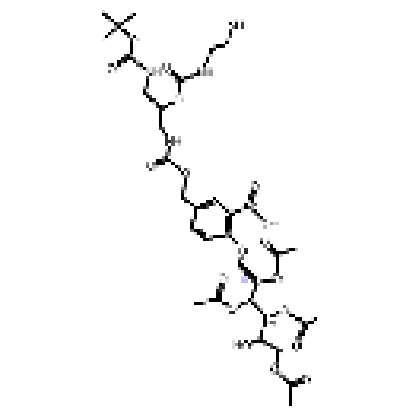 CC(=O)OCC(O)[C@H](OC(C)=O)C(OC(C)=O)/C(=C/Oc1ccc(COC(=O)NCC(CNC(=O)OC(C)(C)C)OC(=O)NCCS)cc1[N+](=O)[O-])OC(C)=O